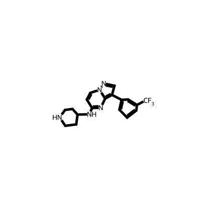 FC(F)(F)c1cccc(-c2cnn3ccc(NC4CCNCC4)nc23)c1